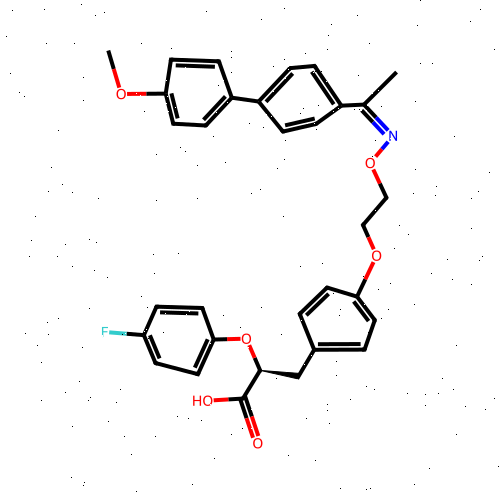 COc1ccc(-c2ccc(/C(C)=N\OCCOc3ccc(C[C@H](Oc4ccc(F)cc4)C(=O)O)cc3)cc2)cc1